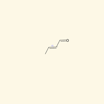 C/C=[C]/C=O